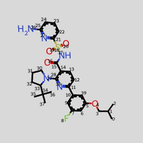 CC(C)COc1cc(F)cc(-c2ccc(C(=O)NS(=O)(=O)c3cccc(N)n3)c(N3CCCC3C(C)(C)C)n2)c1